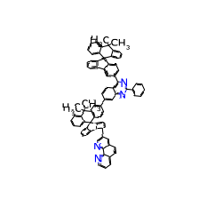 CC1(C)c2ccccc2C2(c3ccccc3-c3cc(-c4nc(-c5ccccc5)nc5cc(-c6ccc7c(c6)C(C)(C)c6ccccc6C76c7ccccc7-c7c(-c8cnc9c(ccc%10cccnc%109)c8)cccc76)ccc45)ccc32)c2ccccc21